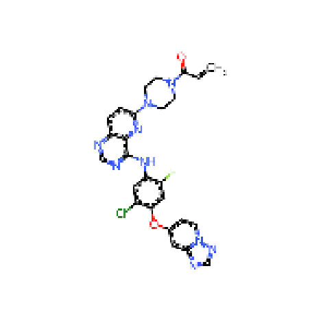 C=CC(=O)N1CCN(c2ccc3ncnc(Nc4cc(Cl)c(Oc5ccn6ncnc6c5)cc4F)c3n2)CC1